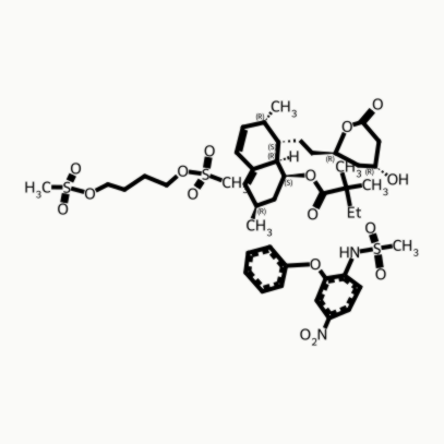 CCC(C)(C)C(=O)O[C@H]1C[C@@H](C)C=C2C=C[C@H](C)[C@H](CC[C@@H]3C[C@@H](O)CC(=O)O3)[C@H]21.CS(=O)(=O)Nc1ccc([N+](=O)[O-])cc1Oc1ccccc1.CS(=O)(=O)OCCCCOS(C)(=O)=O